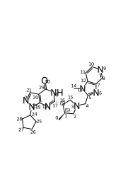 C[C@@H]1CN(Cc2nc3cnccc3n2C)C[C@H]1c1nc2c(cnn2C2CCCC2)c(=O)[nH]1